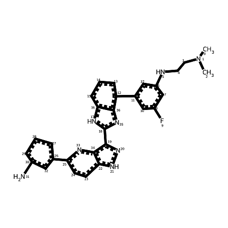 CN(C)CCNc1cc(F)cc(-c2cccc3[nH]c(-c4n[nH]c5ccc(-c6cccc(N)c6)nc45)nc23)c1